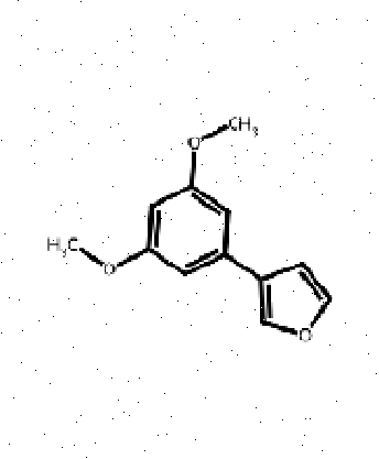 COc1cc(OC)cc(-c2ccoc2)c1